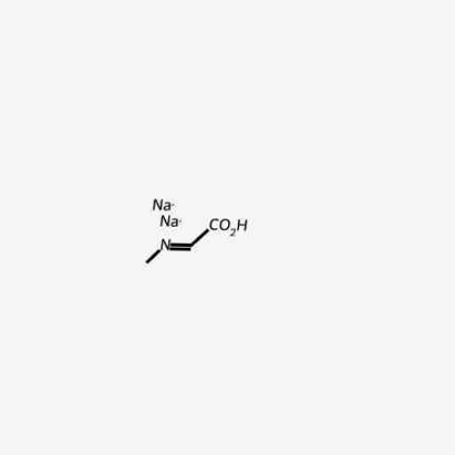 CN=CC(=O)O.[Na].[Na]